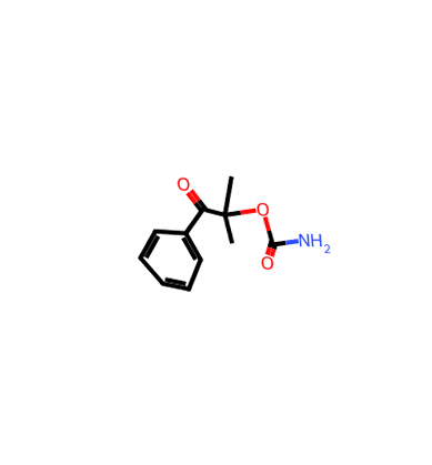 CC(C)(OC(N)=O)C(=O)c1ccccc1